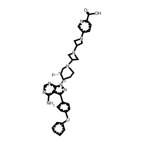 Nc1ncnc2c1c(-c1ccc(Oc3ccccc3)cc1)nn2[C@@H]1CCN(C2CN(C3CN(c4ccc(C(=O)O)nc4)C3)C2)C[C@H]1F